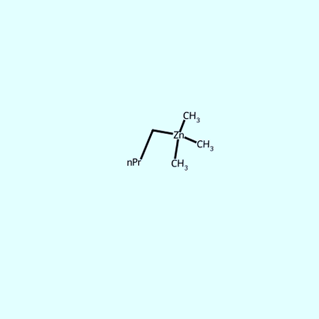 CCC[CH2][Zn]([CH3])([CH3])[CH3]